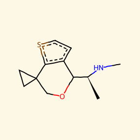 CN[C@@H](C)C1OCC2(CC2)c2sccc21